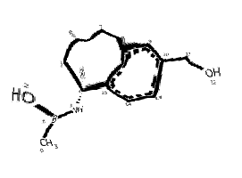 CB(O)N[C@@H]1CCCc2cc(CO)ccc21